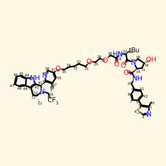 Cc1ncsc1-c1ccc(CNC(=O)[C@@H]2C[C@@H](O)CN2C(=O)[C@@H](NC(=O)COCCOCCCCCOc2cnc([C@@H]3c4[nH]c5ccccc5c4C[C@@H](C)N3CC(F)(F)F)c(F)c2)C(C)(C)C)cc1